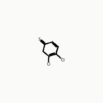 S=C1[C]=CC(Cl)=C(Cl)C1